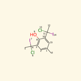 Cc1cc(C(C)(Cl)I)c(O)c(C(C)(Cl)I)c1